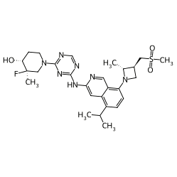 CC(C)c1ccc(N2C[C@H](CS(C)(=O)=O)[C@H]2C)c2cnc(Nc3ncnc(N4CC[C@@H](O)[C@](C)(F)C4)n3)cc12